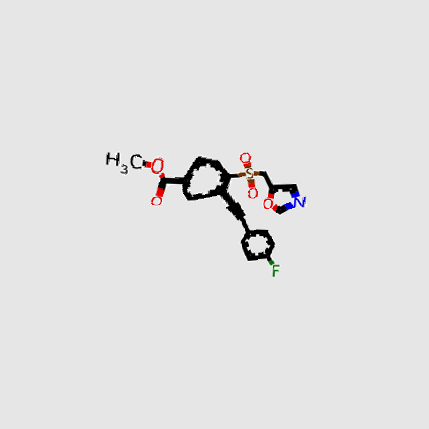 COC(=O)c1ccc(S(=O)(=O)Cc2cnco2)c(C#Cc2ccc(F)cc2)c1